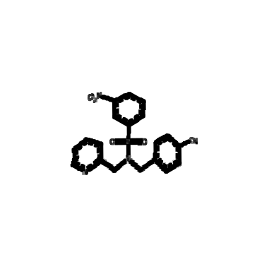 N#Cc1ccc(CN(Cc2ccccn2)S(=O)(=O)c2cccc([N+](=O)[O-])c2)cc1